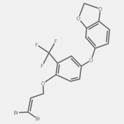 FC(F)(F)c1cc(Oc2ccc3c(c2)OCO3)ccc1OCC=C(Br)Br